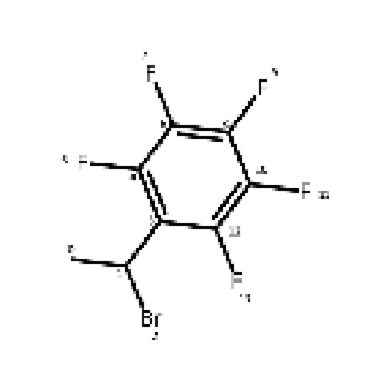 CC(Br)c1c(F)c(F)c(F)c(F)c1F